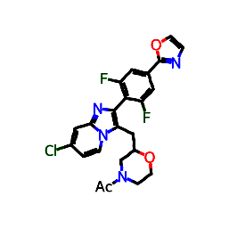 CC(=O)N1CCOC(Cc2c(-c3c(F)cc(-c4ncco4)cc3F)nc3cc(Cl)ccn23)C1